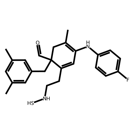 CC1=C(Nc2ccc(F)cc2)C=C(CCNS)C(C=O)(Cc2cc(C)cc(C)c2)C1